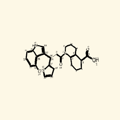 O=C(O)C1CCCC2C1CCCN2C(=O)C[C@@H](c1c[nH]c2cccc(Cl)c12)C1CC=CS1